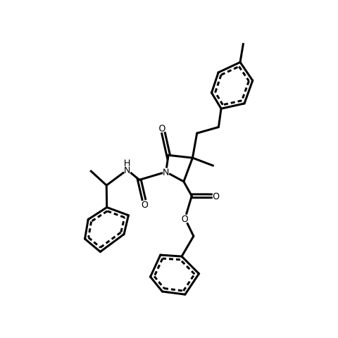 Cc1ccc(CCC2(C)C(=O)N(C(=O)NC(C)c3ccccc3)C2C(=O)OCc2ccccc2)cc1